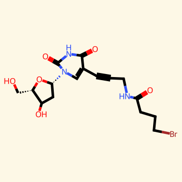 O=C(CCCBr)NCC#Cc1cn([C@@H]2CC(O)[C@H](CO)O2)c(=O)[nH]c1=O